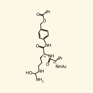 CC(=O)N[C@H](C(=O)N[C@@H](CCCNC(N)O)C(=O)Nc1ccc(COC(=O)C(C)C)cc1)C(C)C